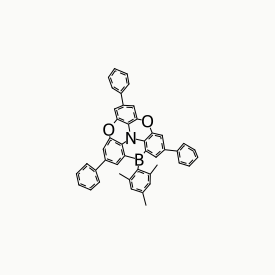 Cc1cc(C)c(B2c3cc(-c4ccccc4)cc4c3N3c5c(cc(-c6ccccc6)cc5Oc5cc(-c6ccccc6)cc2c53)O4)c(C)c1